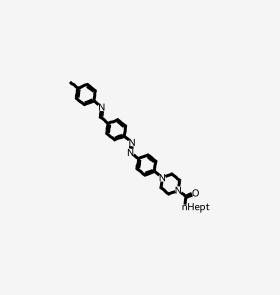 CCCCCCCC(=O)N1CCN(c2ccc(N=Nc3ccc(C=Nc4ccc(C)cc4)cc3)cc2)CC1